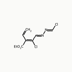 C=C\C(C(=O)OCC)=C(Cl)/C=N/N=C/Cl